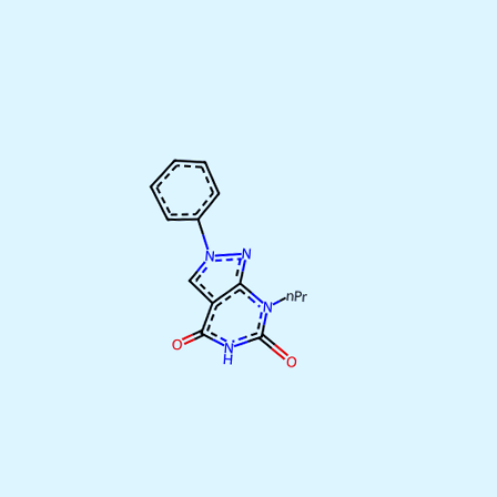 CCCn1c(=O)[nH]c(=O)c2cn(-c3ccccc3)nc21